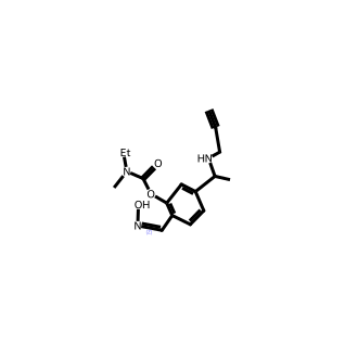 C#CCNC(C)c1ccc(/C=N\O)c(OC(=O)N(C)CC)c1